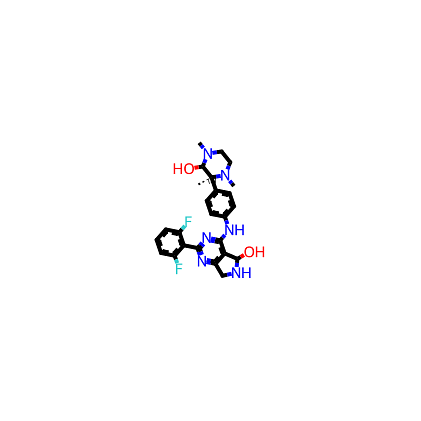 CN1CCN(C)[C@@](C)(c2ccc(Nc3nc(-c4c(F)cccc4F)nc4c3C(O)NC4)cc2)C1O